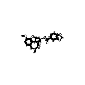 COc1ccc2c3c1OC1C[C@@H](OC(=O)c4ccc5c(c4)OCO5)C=C(C)[C@@]31CCN(C)C2